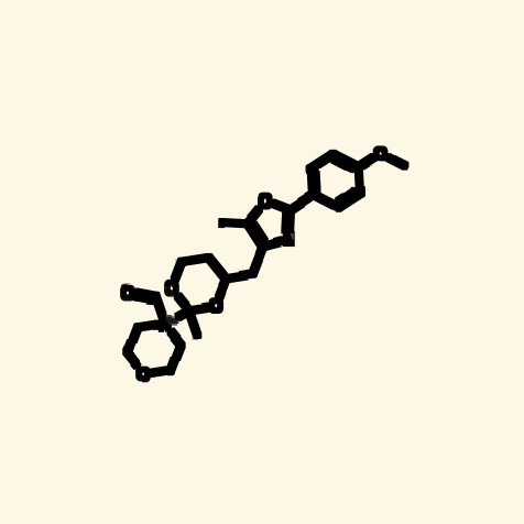 COc1ccc(-c2nc(CC3CCOC(C)([N+]4(C=O)CCOCC4)O3)c(C)o2)cc1